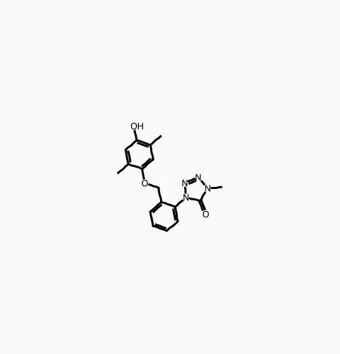 Cc1cc(OCc2ccccc2-n2nnn(C)c2=O)c(C)cc1O